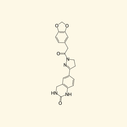 O=C1NCc2cc(C3=NN(C(=O)Cc4ccc5c(c4)OCO5)CC3)ccc2N1